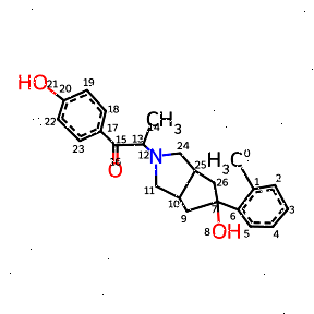 Cc1ccccc1C1(O)CC2CN(C(C)C(=O)c3ccc(O)cc3)CC2C1